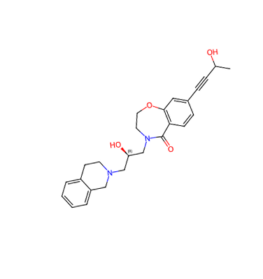 CC(O)C#Cc1ccc2c(c1)OCCN(C[C@H](O)CN1CCc3ccccc3C1)C2=O